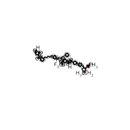 CC1(C)CCC(CN2CCN(c3ccc(C(=O)NS(=O)(=O)c4ccc(N[C@H](CCN5CCN(CCCCCc6cccc7c6CN(C6CCC(=O)NC6=O)C7=O)CC5)CSc5ccccc5)c(S(=O)(=O)C(F)(F)F)c4)cc3)CC2)=C(C23CC(C)(C2)C3)C1